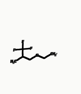 [CH2]COCC(C)C(F)(F)F